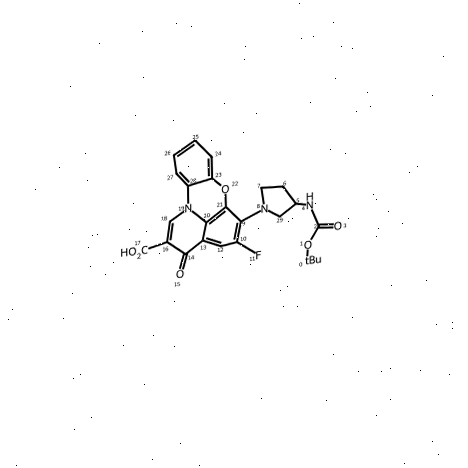 CC(C)(C)OC(=O)NC1CCN(c2c(F)cc3c(=O)c(C(=O)O)cn4c3c2Oc2ccccc2-4)C1